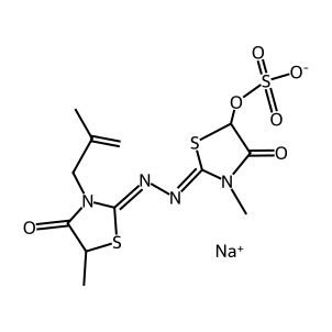 C=C(C)CN1C(=O)C(C)SC1=NN=C1SC(OS(=O)(=O)[O-])C(=O)N1C.[Na+]